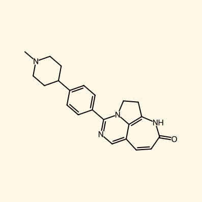 CN1CCC(c2ccc(C3=NC=C4C=CC(=O)NC5=C4N3CC5)cc2)CC1